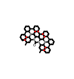 Cc1cc2c(cc1C)N1C(=O)N3c4cc(C)c(C)cc4B(c4c(-c5ccccc5)cccc4-c4ccccc4)c4ccc5ccc(c1c5c43)B2c1c(-c2ccccc2)cccc1-c1ccccc1